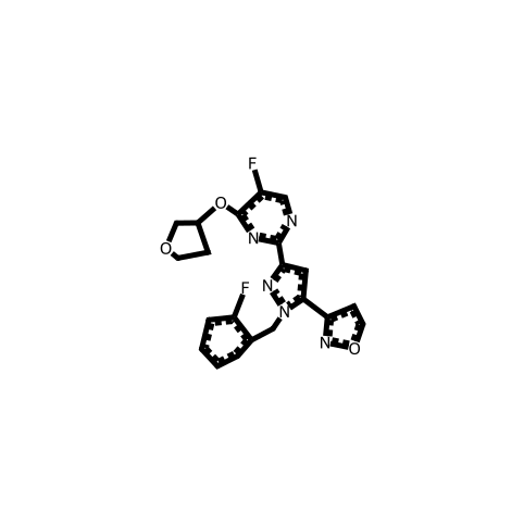 Fc1ccccc1Cn1nc(-c2ncc(F)c(OC3CCOC3)n2)cc1-c1ccon1